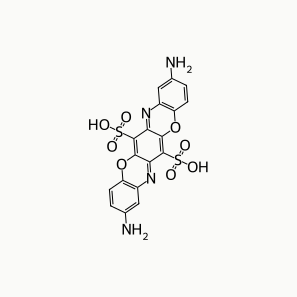 Nc1ccc2c(c1)N=c1c(c(S(=O)(=O)O)c3c(c1S(=O)(=O)O)Oc1ccc(N)cc1N=3)O2